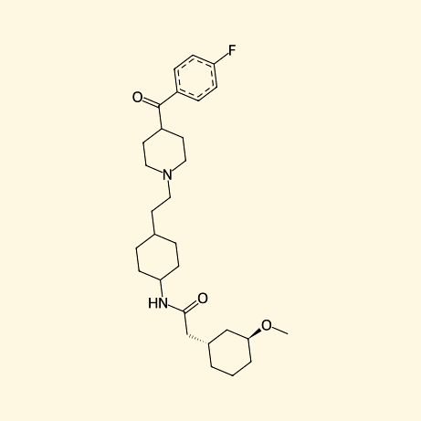 CO[C@H]1CCC[C@H](CC(=O)NC2CCC(CCN3CCC(C(=O)c4ccc(F)cc4)CC3)CC2)C1